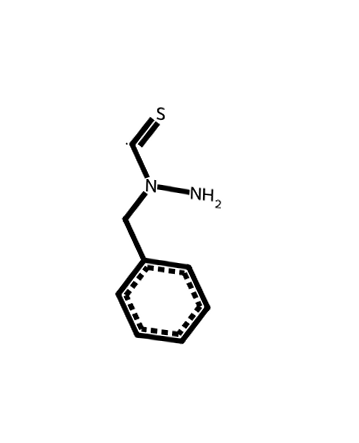 NN([C]=S)Cc1ccccc1